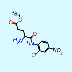 CC(C)(C)OC(=O)CCC(N)C(=O)Nc1ccc([N+](=O)[O-])cc1Cl